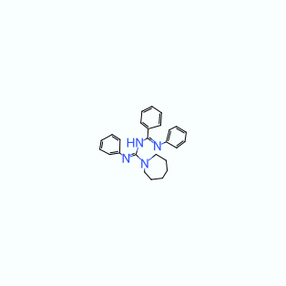 c1ccc(/N=C(/N/C(=N\c2ccccc2)N2CCCCCC2)c2ccccc2)cc1